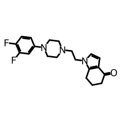 O=C1CCCc2c1ccn2CCN1CCN(c2ccc(F)c(F)c2)CC1